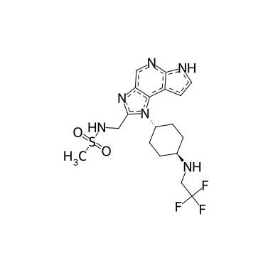 CS(=O)(=O)NCc1nc2cnc3[nH]ccc3c2n1[C@H]1CC[C@H](NCC(F)(F)F)CC1